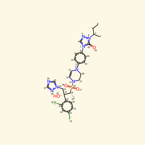 CCC(C)n1ncn(-c2ccc(N3C=CN(S(=O)(=O)[C@H](C)[C@](O)(Cn4cncn4)c4ccc(F)cc4F)CC3)cc2)c1=O